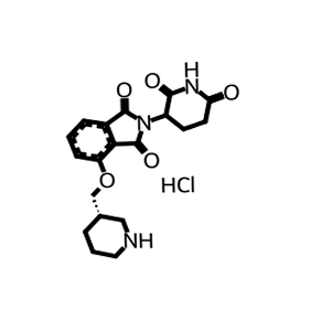 Cl.O=C1CCC(N2C(=O)c3cccc(OC[C@H]4CCCNC4)c3C2=O)C(=O)N1